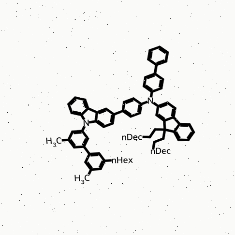 CCCCCCCCCCCCC1(CCCCCCCCCCCC)c2ccccc2-c2ccc(N(c3ccc(-c4ccccc4)cc3)c3ccc(-c4ccc5c(c4)c4ccccc4n5-c4cc(C)cc(-c5cc(C)cc(CCCCCC)c5)c4)cc3)cc21